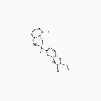 CCc1cc2ccc(C(C)(C#N)Cc3c(F)cccc3F)cc2[nH]c1=O